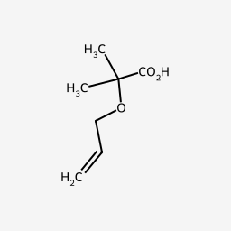 C=CCOC(C)(C)C(=O)O